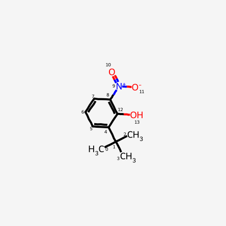 CC(C)(C)c1cccc([N+](=O)[O-])c1O